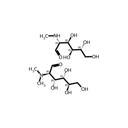 CN(C)[C@@H](C=O)[C@@H](O)[C@H](O)[C@H](O)CO.CN[C@@H](C=O)[C@@H](O)[C@H](O)[C@H](O)CO